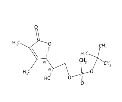 CC1=C(C)[C@@H]([C@@H](O)COP(C)(=O)OC(C)(C)C)OC1=O